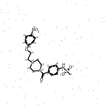 CS(=O)(=O)Nc1ccc(C(=O)N2CCN(CCOc3ccc([N+](=O)[O-])cc3)CC2)cc1